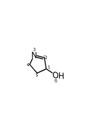 OC1[C]=NCC1